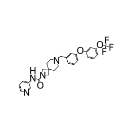 O=C(Nc1cccnc1)N1CC2(CCN(Cc3cccc(Oc4cccc(OC(F)(F)F)c4)c3)CC2)C1